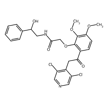 COc1ccc(C(=O)Cc2c(Cl)cncc2Cl)c(OCC(=O)NCC(O)c2ccccc2)c1OC